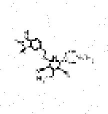 CCc1c(C#N)c(SCc2ccc3c(c2)C(=O)C(=O)N3)nc(N2CCCN(C)CC2)c1C#N